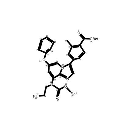 COC(=O)c1ccc(-c2cnc3c(N(CCC(F)(F)F)C(=O)OC(C)(C)C)cc(Oc4ccccc4)cn23)cc1C